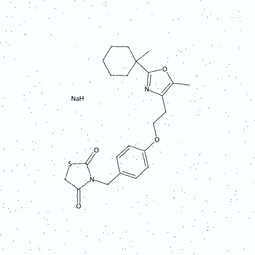 Cc1oc(C2(C)CCCCC2)nc1CCOc1ccc(CN2C(=O)CSC2=O)cc1.[NaH]